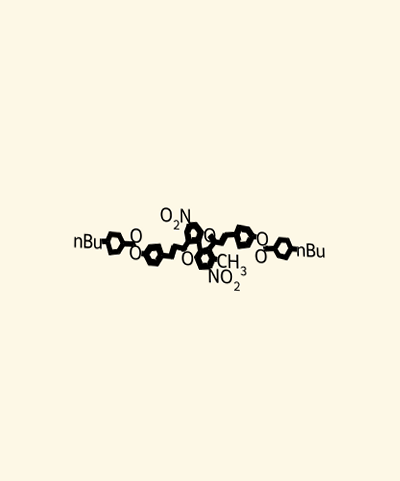 CCCCC1CCC(C(=O)Oc2ccc(C=CC(=O)c3cc([N+](=O)[O-])ccc3-c3ccc([N+](=O)[O-])c(C)c3C(=O)C=Cc3ccc(OC(=O)C4CCC(CCCC)CC4)cc3)cc2)CC1